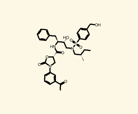 CC[C@H](C)CN(C[C@@H](O)[C@H](Cc1ccccc1)NC(=O)[C@@H]1CN(c2cccc(C(C)=O)c2)C(=O)O1)S(=O)(=O)c1ccc(CO)cc1